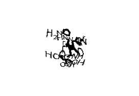 Cn1cc(-c2nc(N[C@@H]3CCCC[C@@H]3N)c(F)c3c2C(=O)NC3OC(CC(=O)O)(CC(=O)O)C(=O)O)cn1